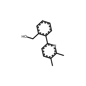 Cc1ccc(-c2cc[c]cc2CO)nc1C